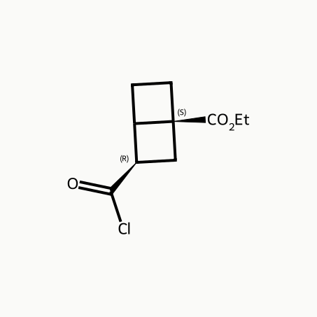 CCOC(=O)[C@]12CCC1[C@H](C(=O)Cl)C2